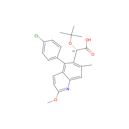 COc1ccc2c(-c3ccc(Cl)cc3)c([C@H](OC(C)(C)C)C(=O)O)c(C)cc2n1